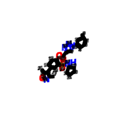 Cc1cccc(-n2cc(COc3ccc(-c4c(C)noc4C)cc3S(=O)(=O)NC3CCCC3)nn2)c1